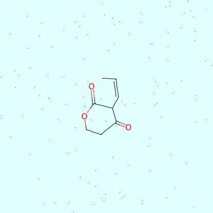 C/C=C\C1C(=O)CCOC1=O